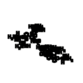 N=C(N)NCCOc1cccc(-c2ccc(CNC(=O)CCSSCCC(=O)NCc3ccc(-c4cccc(OCCNC(=N)N)c4OCCNC(=N)N)c(OCCNC(=N)N)c3OCCNC(=N)N)c(OCCNC(=N)N)c2OCCNC(=N)N)c1OCCNC(=N)N